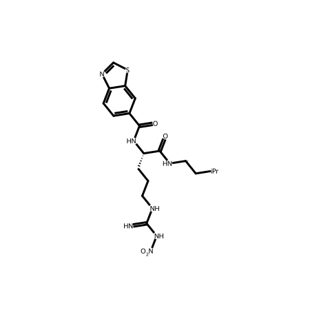 CC(C)C[CH]NC(=O)[C@H](CCCNC(=N)N[N+](=O)[O-])NC(=O)c1ccc2ncsc2c1